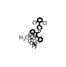 CN(C)C(=O)C(OC(=O)C(F)(F)F)n1c(-c2ccccc2)c(CN2CCC(c3c(Cl)cccc3Cl)CC2)c2ccccc21